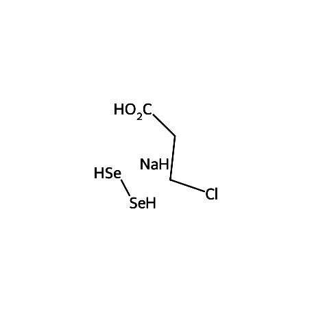 O=C(O)CCCl.[NaH].[SeH][SeH]